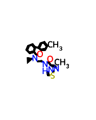 Cc1ccc(-c2ccccc2C(=O)N(CCNC(=O)c2c(C)nc3sccn23)C2CC2)cc1